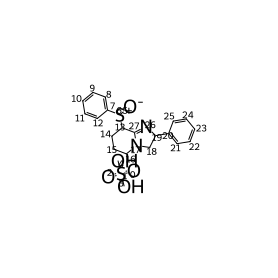 O=S(=O)(O)O.[O-][S+](c1ccccc1)C1CCCN2CC(c3ccccc3)N=C12